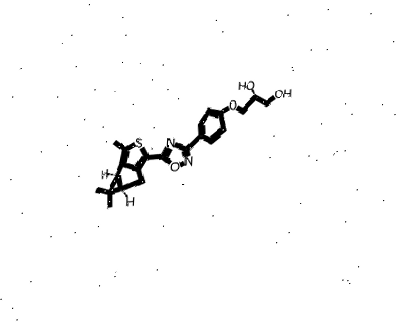 Cc1sc(-c2nc(-c3ccc(OC[C@H](O)CO)cc3)no2)c2c1[C@H]1[C@@H](C2)C1(C)C